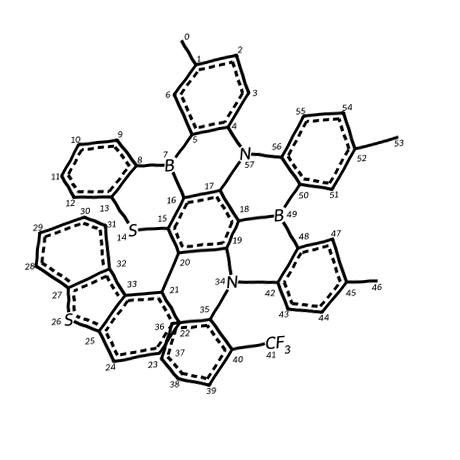 Cc1ccc2c(c1)B1c3ccccc3Sc3c1c1c4c(c3-c3cccc5sc6ccccc6c35)N(c3ccccc3C(F)(F)F)c3ccc(C)cc3B4c3cc(C)ccc3N21